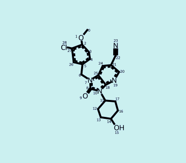 COc1ccc(Cn2c(=O)n(C3CCC(O)CC3)c3ncc(C#N)cc32)cc1Cl